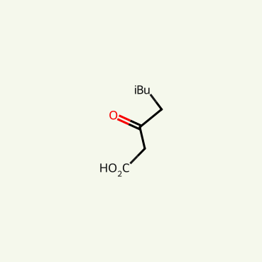 CCC(C)CC(=O)CC(=O)O